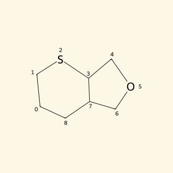 C1CSC2COCC2C1